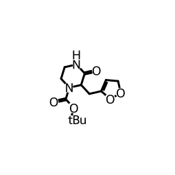 CC(C)(C)OC(=O)N1CCNC(=O)C1CC1=CCOO1